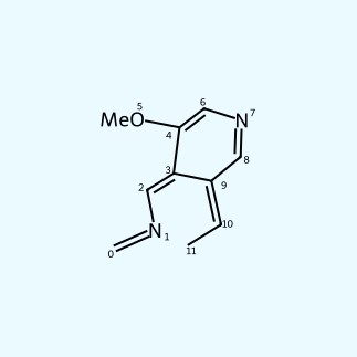 C=N/C=c1/c(OC)cnc/c1=C/C